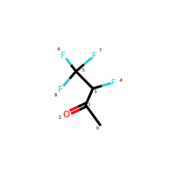 CC(=O)C(F)C(F)(F)F